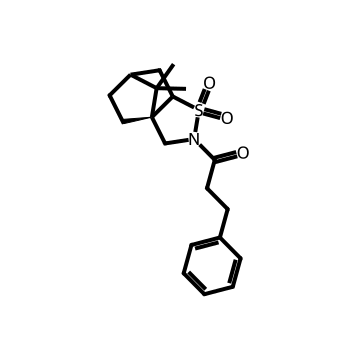 CC1(C)C2CC[C@@]13CN(C(=O)CCc1ccccc1)S(=O)(=O)C3C2